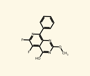 COc1nc(O)c2c(F)c(F)nc(-c3ccccc3)c2n1